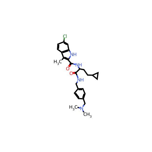 Cc1c(C(=O)NC(CCC2CC2)C(=O)NCc2ccc(CN(C)C)cc2)[nH]c2cc(Cl)ccc12